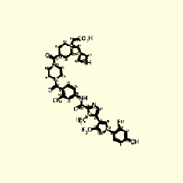 Cn1c(-c2cn(-c3ccc(O)cc3F)nc2C(F)(F)F)cnc1C(=O)Nc1ccc(C(=O)N2CCN(C(=O)C3CC[N+](CC(=O)O)(CC4CNC4)CC3)CC2)c(Cl)c1